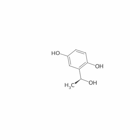 C[C@H](O)c1cc(O)ccc1O